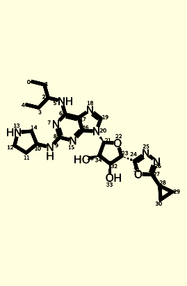 CCC(CC)Nc1nc(NC2CCNC2)nc2c1ncn2[C@@H]1O[C@H](c2nnc(C3CC3)o2)[C@@H](O)[C@H]1O